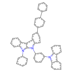 c1ccc(-c2ccc(-c3ccc4c(c3)c3c5ccccc5n(-c5ccccc5)c3n4-c3cccc(-n4c5ccccc5c5ccccc54)c3)cc2)cc1